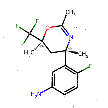 CC1=N[C@](C)(c2cc(N)ccc2F)C[C@@](C)(C(F)(F)F)O1